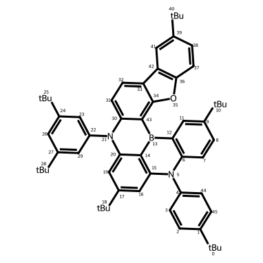 CC(C)(C)c1ccc(N2c3ccc(C(C)(C)C)cc3B3c4c2cc(C(C)(C)C)cc4N(c2cc(C(C)(C)C)cc(C(C)(C)C)c2)c2ccc4c(oc5ccc(C(C)(C)C)cc54)c23)cc1